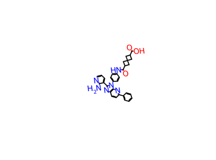 Nc1ncccc1-c1nc2ccc(-c3ccccc3)nc2n1-c1ccc(NC(=O)C2CC3(CC(C(=O)O)C3)C2)cc1